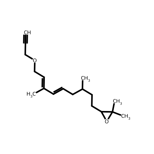 C#CCOCC=C(C)C=CCC(C)CCC1OC1(C)C